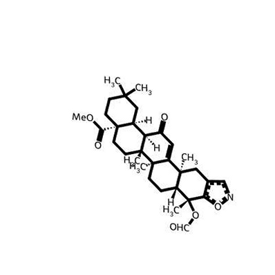 COC(=O)[C@]12CCC(C)(C)C[C@H]1[C@H]1C(=O)C=C3[C@@]4(C)Cc5cnoc5[C@](C)(OC=O)[C@@H]4CC[C@@]3(C)[C@]1(C)CC2